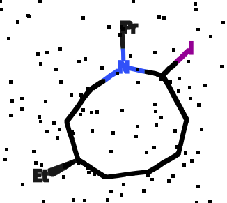 CC[C@@H]1CCCCC(I)N(C(C)C)CC1